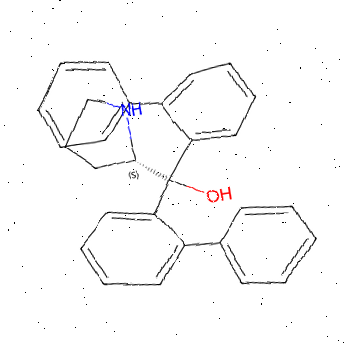 OC(c1ccccc1-c1ccccc1)(c1ccccc1-c1ccccc1)[C@@H]1CCCN1